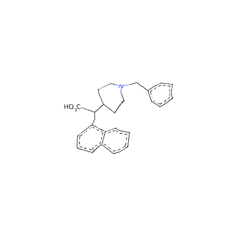 O=C(O)C(c1cccc2ccccc12)C1CCN(Cc2ccccc2)CC1